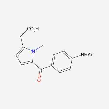 CC(=O)Nc1ccc(C(=O)c2ccc(CC(=O)O)n2C)cc1